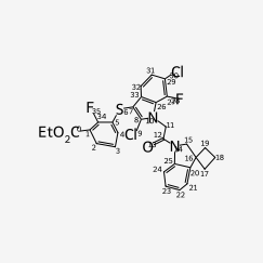 CCOC(=O)c1cccc(Sc2c(Cl)n(CC(=O)N3CC4(CCC4)c4ccccc43)c3c(F)c(Cl)ccc23)c1F